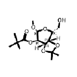 CO[C@@H]1O[C@H](CO)[C@@H]2OC(C)(C)O[C@@H]2[C@H]1OC(=O)C(C)(C)C